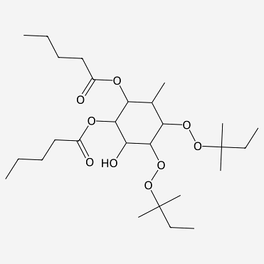 CCCCC(=O)OC1C(C)C(OOC(C)(C)CC)C(OOC(C)(C)CC)C(O)C1OC(=O)CCCC